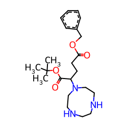 CC(C)(C)OC(=O)C(CCC(=O)OCc1ccccc1)N1CCNCCNCC1